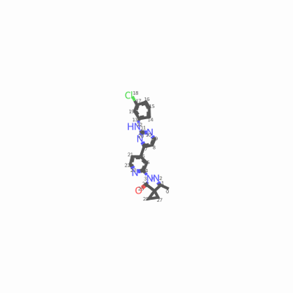 CC1=NN(c2cc(-c3ccnc(Nc4cccc(Cl)c4)n3)ccn2)C(=O)C12CC2